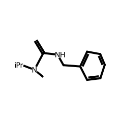 C=C(NCc1ccccc1)N(C)C(C)C